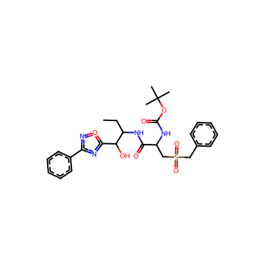 CCC(NC(=O)C(CS(=O)(=O)Cc1ccccc1)NC(=O)OC(C)(C)C)C(O)c1nc(-c2ccccc2)no1